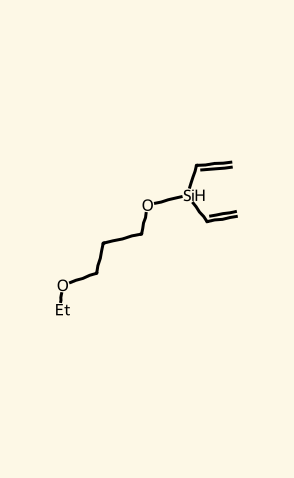 C=C[SiH](C=C)OCCCOCC